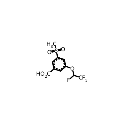 CS(=O)(=O)c1cc(OC(F)C(F)(F)F)cc(C(=O)O)c1